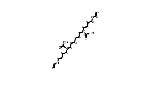 C=COCCCCN(CCCCCCN(CCCCOC=C)C(=O)O)C(=O)O